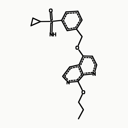 CCCOc1nccc2c(OCc3cccc(S(=N)(=O)C4CC4)c3)ccnc12